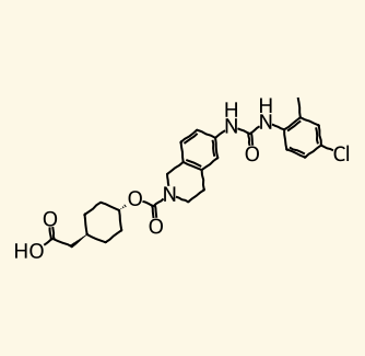 Cc1cc(Cl)ccc1NC(=O)Nc1ccc2c(c1)CCN(C(=O)O[C@H]1CC[C@H](CC(=O)O)CC1)C2